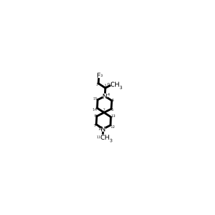 CC(CF)N1CCC2(CCN(C)CC2)CC1